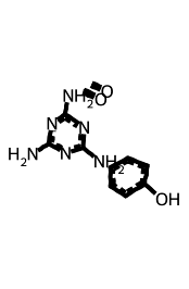 C=O.C=O.Nc1nc(N)nc(N)n1.Oc1ccccc1